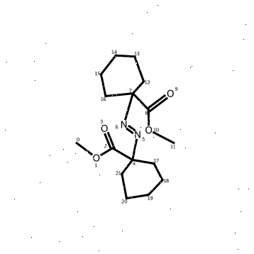 COC(=O)C1(/N=N/C2(C(=O)OC)CCCCC2)CCCCC1